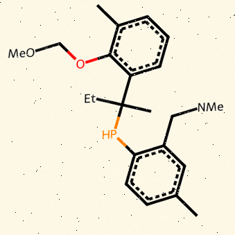 CCC(C)(Pc1ccc(C)cc1CNC)c1cccc(C)c1OCOC